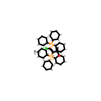 CC(C)(C)C(=C(Cl)[PH](C1CCCCC1)(C1CCCCC1)C1CCCCC1)[PH](C1CCCCC1)(C1CCCCC1)C1CCCCC1.[Ru]